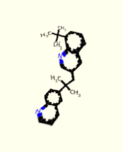 CC(C)(C)c1cccc2cc(CC(C)(C)c3ccc4ncccc4c3)cnc12